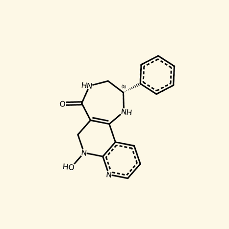 O=C1NC[C@H](c2ccccc2)NC2=C1CN(O)c1ncccc12